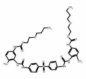 CCCCOCCOC(=O)Nc1ccc(C)c(NC(=O)Nc2ccc(S(=O)(=O)c3ccc(NC(=O)Nc4cc(NC(=O)OCCOCCCC)ccc4C)cc3)cc2)c1